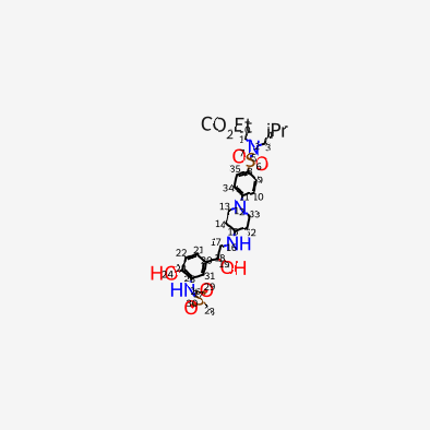 CCOC(=O)CN(CC(C)C)S(=O)(=O)c1ccc(N2CCC(NC[C@@H](O)c3ccc(O)c(NS(C)(=O)=O)c3)CC2)cc1